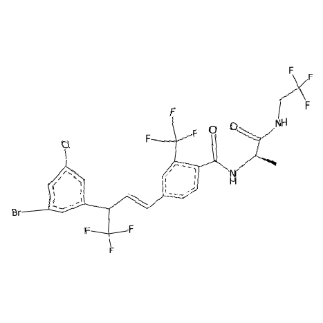 C[C@@H](NC(=O)c1ccc(/C=C/C(c2cc(Cl)cc(Br)c2)C(F)(F)F)cc1C(F)(F)F)C(=O)NCC(F)(F)F